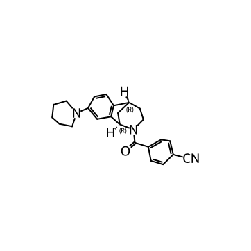 N#Cc1ccc(C(=O)N2CC[C@@H]3C[C@@H]2c2cc(N4CCCCC4)ccc23)cc1